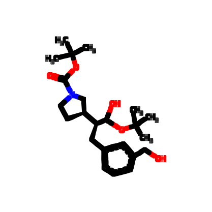 CC(C)(C)OC(=O)N1CC[C@H]([C@H](Cc2cccc(CO)c2)C(O)OC(C)(C)C)C1